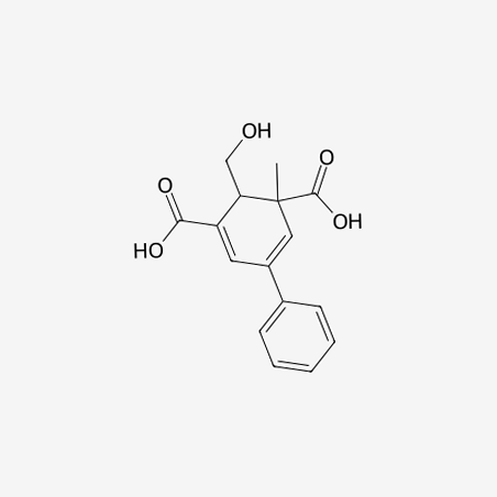 CC1(C(=O)O)C=C(c2ccccc2)C=C(C(=O)O)C1CO